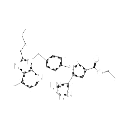 CCCCc1nc2c(C)ccnc2n1Cc1ccc(-n2cc(C(=O)OCC)cc2-c2nnn[nH]2)cc1